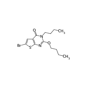 CCCCOc1nc2sc(Br)cc2c(=O)n1CCCC